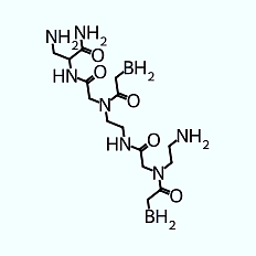 BCC(=O)N(CCN)CC(=O)NCCN(CC(=O)NC(CN)C(N)=O)C(=O)CB